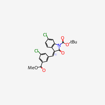 COC(=O)c1cc(Cl)cc(/C=C2/C(=O)N(C(=O)OC(C)(C)C)c3cc(Cl)ccc32)c1